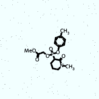 COC(=O)COP(=O)(Oc1ccc(C)cc1)C1CCCN(C)C1=O